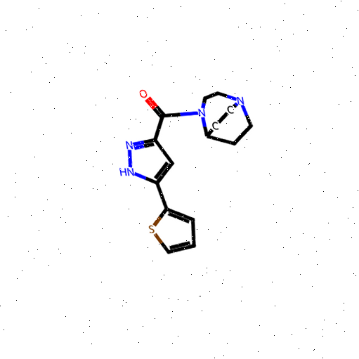 O=C(c1cc(-c2cccs2)[nH]n1)N1CCN2CCC1CC2